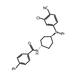 CC(C)c1ccc(C(=O)N[C@H]2CC[C@H](N(c3ccc(C#N)c(Cl)c3)C(C)C)CC2)cc1